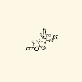 CCOC(CCC1CC(=O)OC1=O)[SiH](C)C